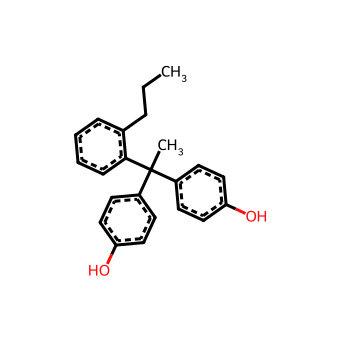 CCCc1ccccc1C(C)(c1ccc(O)cc1)c1ccc(O)cc1